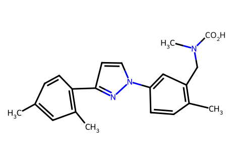 Cc1ccc(-c2ccn(-c3ccc(C)c(CN(C)C(=O)O)c3)n2)c(C)c1